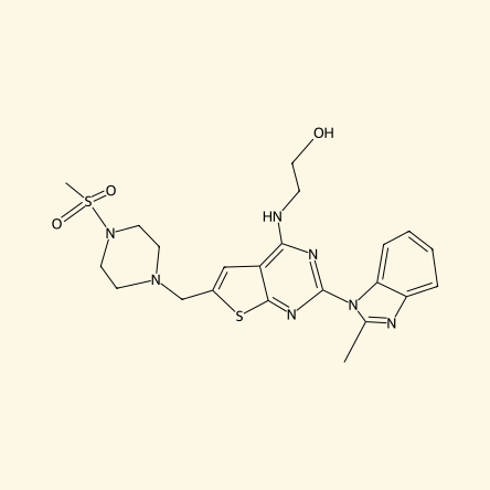 Cc1nc2ccccc2n1-c1nc(NCCO)c2cc(CN3CCN(S(C)(=O)=O)CC3)sc2n1